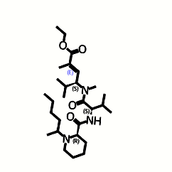 CCCCC(C)N1CCCC[C@@H]1C(=O)N[C@H](C(=O)N(C)[C@H](/C=C(\C)C(=O)OCC)C(C)C)C(C)C